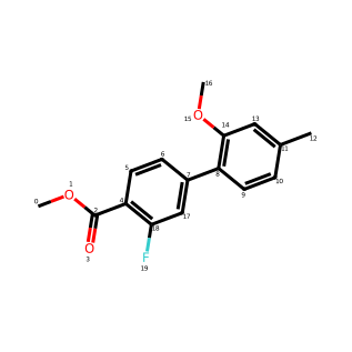 COC(=O)c1ccc(-c2ccc(C)cc2OC)cc1F